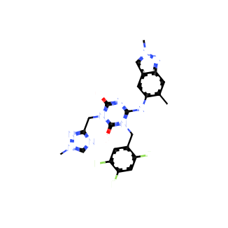 Cc1cc2nn(C)cc2cc1Nc1nc(=O)n(Cc2ncn(C)n2)c(=O)n1Cc1cc(F)c(F)cc1F